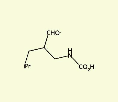 CC(C)CC([C]=O)CNC(=O)O